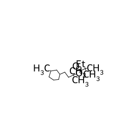 CCC(C)(C)C(=O)OC(C)(C)CCC1CCCC(C)C1